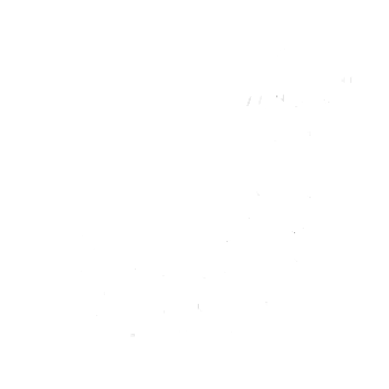 BC(C)c1ccc(Oc2ccc3c(c2)Cc2cc(CCC(N)(CO)CO)ccc2S3)cc1